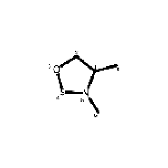 CC1COSN1C